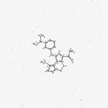 CN(C)c1cccc(Oc2sc(C(N)=O)c3c2-c2c(cnn2C)CC3)c1